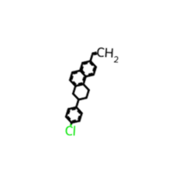 C=Cc1ccc2c3c(ccc2c1)CC(c1ccc(Cl)cc1)CC3